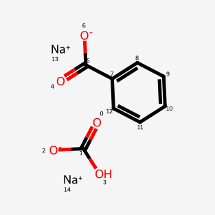 O=C([O-])O.O=C([O-])c1ccccc1.[Na+].[Na+]